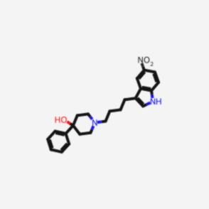 O=[N+]([O-])c1ccc2[nH]cc(CCCCN3CCC(O)(c4ccccc4)CC3)c2c1